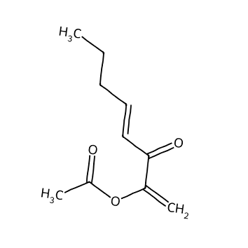 C=C(OC(C)=O)C(=O)C=CCCC